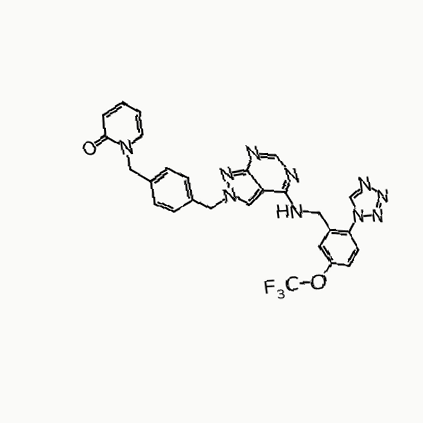 O=c1ccccn1Cc1ccc(Cn2cc3c(NCc4cc(OC(F)(F)F)ccc4-n4cnnn4)ncnc3n2)cc1